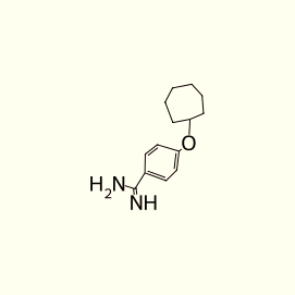 N=C(N)c1ccc(OC2CCCCCC2)cc1